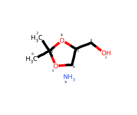 CC1(C)OCC(CO)O1.N